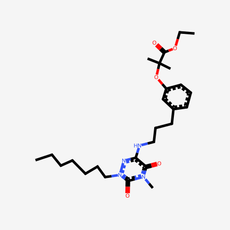 CCCCCCCn1nc(NCCCc2cccc(OC(C)(C)C(=O)OCC)c2)c(=O)n(C)c1=O